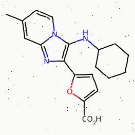 Cc1ccn2c(NC3CCCCC3)c(-c3ccc(C(=O)O)o3)nc2c1